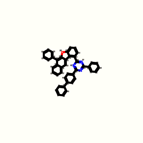 c1ccc(-c2ccc(-c3nc(-c4ccccc4)nc(-c4cccc5oc6c(-c7ccccc7)c7ccccc7cc6c45)n3)cc2)cc1